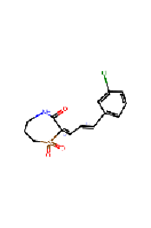 O=C1NCCCS(=O)(=O)/C1=C/C=C/c1cccc(Cl)c1